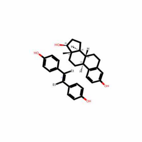 CC/C(=C(/CC)c1ccc(O)cc1)c1ccc(O)cc1.C[C@]12CC[C@@H]3c4ccc(O)cc4CC[C@H]3[C@@H]1CC[C@@H]2O